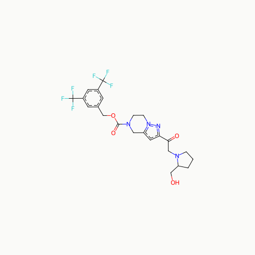 O=C(CN1CCCC1CO)c1cc2n(n1)CCN(C(=O)OCc1cc(C(F)(F)F)cc(C(F)(F)F)c1)C2